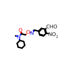 CN(C(=O)CO/N=C/c1ccc([N+](=O)[O-])c(C=O)c1)C1CCCCC1